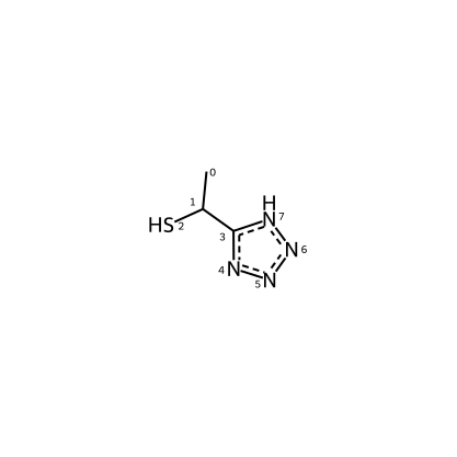 CC(S)c1nnn[nH]1